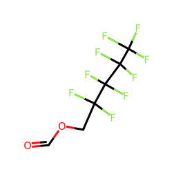 O=COCC(F)(F)C(F)(F)C(F)(F)C(F)(F)F